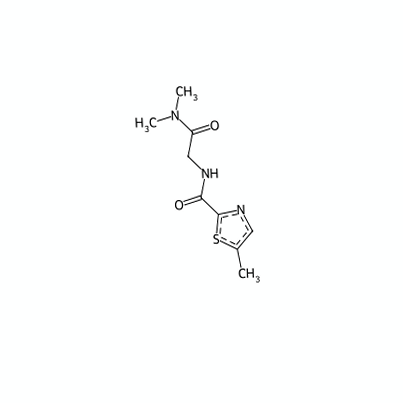 Cc1cnc(C(=O)NCC(=O)N(C)C)s1